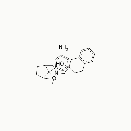 COC1(c2cccc(N)c2)C2CCC1CN(CC1(O)CCc3ccccc3C1)C2